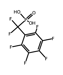 O=P(O)(O)C(F)(F)c1c(F)c(F)c(F)c(F)c1F